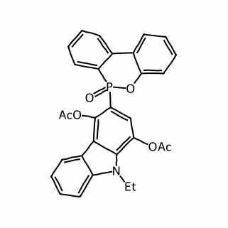 CCn1c2ccccc2c2c(OC(C)=O)c(P3(=O)Oc4ccccc4-c4ccccc43)cc(OC(C)=O)c21